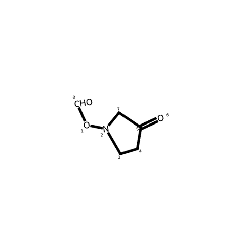 O=CON1CCC(=O)C1